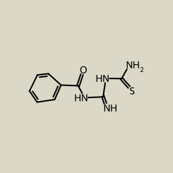 N=C(NC(=O)c1ccccc1)NC(N)=S